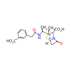 C=C(NC(=O)Cc1cccc(C(=O)O)c1)[C@@]1(C)S[C@@H]2CC(=O)N2C1C(=O)O